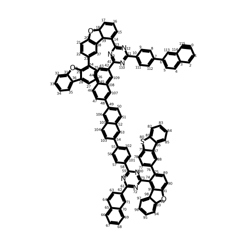 c1ccc2ccc(-c3ccc(-c4nc(C5=CC=CC6Oc7ccc(-c8cccc9c8oc8ccccc89)cc7C56)nc(-c5ccc6ccc(-c7ccc8cc(-c9ccc(-c%10nc(-c%11ccc%12ccccc%12c%11)nc(-c%11c(-c%12ccc%13sc%14ccccc%14c%13c%12)ccc%12oc%13ccccc%13c%11%12)n%10)cc9)ccc8c7)cc6c5)n4)cc3)cc2c#1